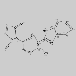 O=C1C=CC(=O)N1c1ccc(O)c(-c2nc3ccccc3[nH]2)c1